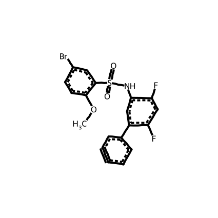 COc1ccc(Br)cc1S(=O)(=O)Nc1cc(-c2cc#ccc2)c(F)cc1F